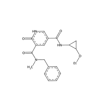 CCOC1CC1NC(=O)c1c[nH]c(=O)c(C(=O)N(C)Cc2ccccc2)c1